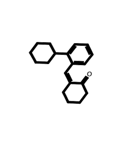 O=C1CCCCC1=Cc1ccccc1C1CCCCC1